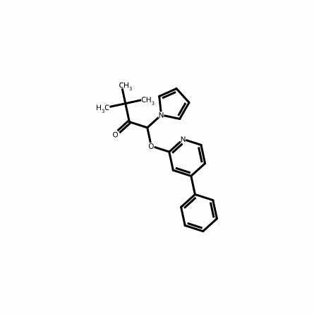 CC(C)(C)C(=O)C(Oc1cc(-c2ccccc2)ccn1)n1cccc1